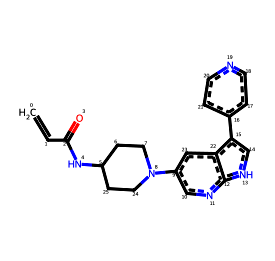 C=CC(=O)NC1CCN(c2cnc3[nH]cc(-c4ccncc4)c3c2)CC1